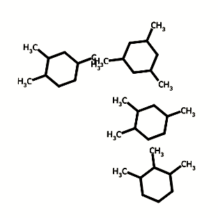 CC1CC(C)CC(C)C1.CC1CCC(C)C(C)C1.CC1CCC(C)C(C)C1.CC1CCCC(C)C1C